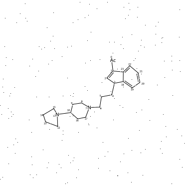 CC(=O)C1=CC(CCCN2CCC(N3CCCC3)CC2)c2ccccc21